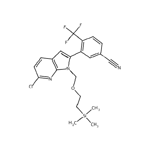 C[Si](C)(C)CCOCn1c(-c2cc(C#N)ccc2C(F)(F)F)cc2ccc(Cl)nc21